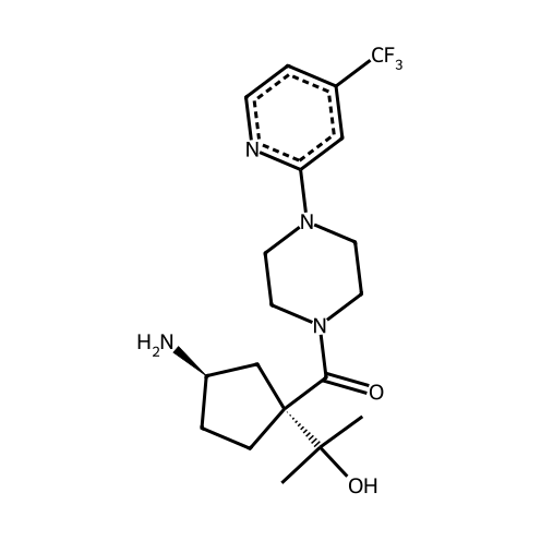 CC(C)(O)[C@]1(C(=O)N2CCN(c3cc(C(F)(F)F)ccn3)CC2)CC[C@@H](N)C1